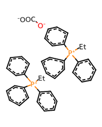 CC[P+](c1ccccc1)(c1ccccc1)c1ccccc1.CC[P+](c1ccccc1)(c1ccccc1)c1ccccc1.O=C([O-])[O-]